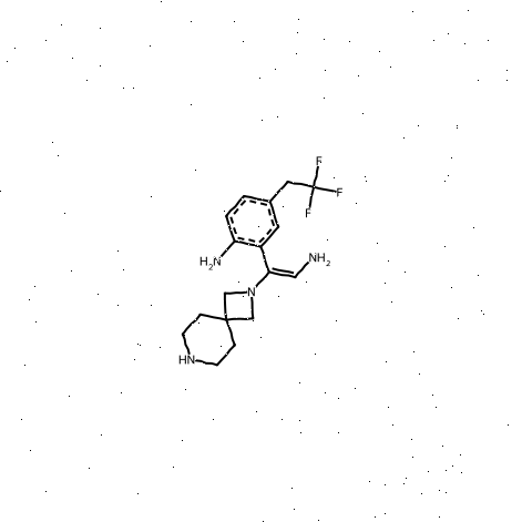 N/C=C(\c1cc(CC(F)(F)F)ccc1N)N1CC2(CCNCC2)C1